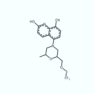 CC1CN(c2ccc(C#N)c3nc(O)ccc23)CC(COSC(F)(F)F)O1